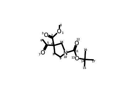 COC(=O)C1(C(C)=O)CCN(C(=O)OC(C)(C)C)C1